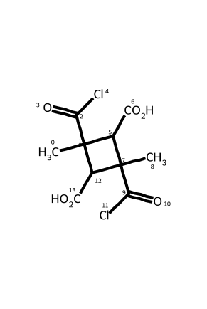 CC1(C(=O)Cl)C(C(=O)O)C(C)(C(=O)Cl)C1C(=O)O